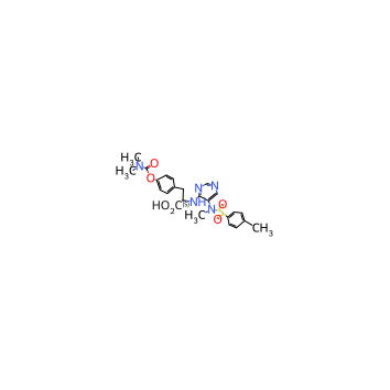 Cc1ccc(S(=O)(=O)N(C)c2cncnc2N[C@@H](Cc2ccc(OC(=O)N(C)C)cc2)C(=O)O)cc1